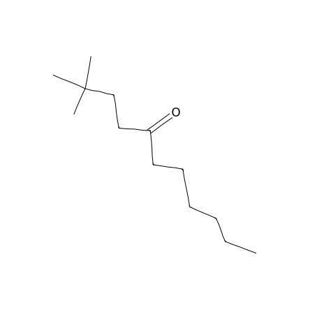 CCCCCCC(=O)CCC(C)(C)C